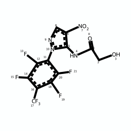 O=C(CO)Nc1c([N+](=O)[O-])cnn1-c1c(F)c(F)c(C(F)(F)F)c(F)c1F